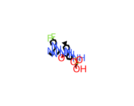 O=C(Nc1cn2ccnc2c(N2CCC(F)(F)CC2)n1)c1ccc(NS(=O)(=O)CCO)nc1N1CCC2(CC1)CC2